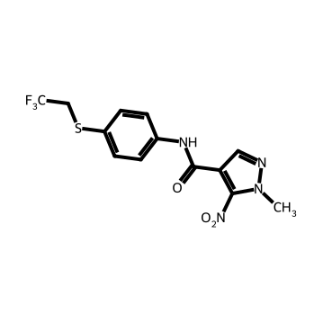 Cn1ncc(C(=O)Nc2ccc(SCC(F)(F)F)cc2)c1[N+](=O)[O-]